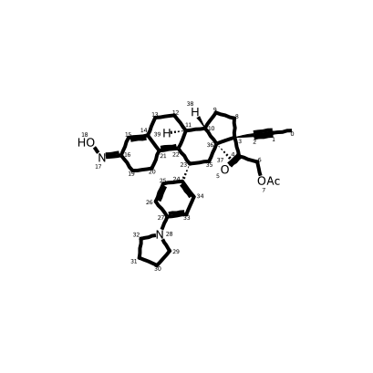 CC#C[C@]1(C(=O)COC(C)=O)CC[C@H]2[C@@H]3CCC4=CC(=NO)CCC4=C3[C@@H](c3ccc(N4CCCC4)cc3)C[C@@]21C